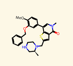 COc1ccc(-c2cn(C)c(=O)c3cc(CN4CCNC[C@@H]4C)sc23)cc1OCc1ccccc1